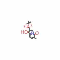 Cc1ccc2n(c1=O)CC(C(=O)OC(C)(C)C)=C2O